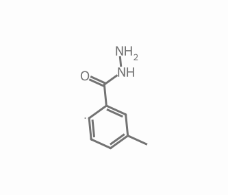 Cc1cc[c]c(C(=O)NN)c1